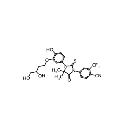 CC1(C)C(=O)N(c2ccc(C#N)c(C(F)(F)F)c2)C(=S)N1c1ccc(O)c(OCCC(O)CO)c1